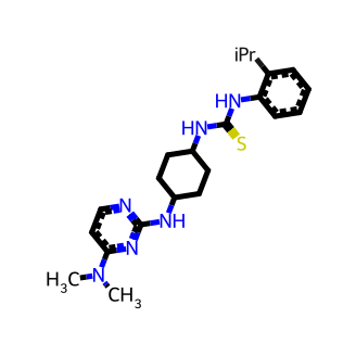 CC(C)c1ccccc1NC(=S)NC1CCC(Nc2nccc(N(C)C)n2)CC1